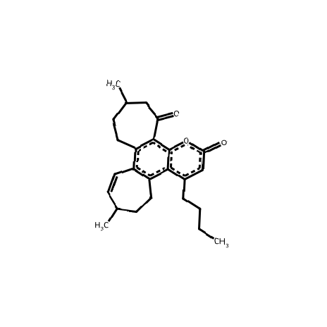 CCCCc1cc(=O)oc2c3c(c4c(c12)CCC(C)C=C4)CCC(C)CC3=O